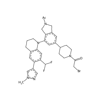 CC(=O)N1Cc2cc(C3CCN(C(=O)CBr)CC3)cc(N3CCCc4cc(-c5cnn(C)c5)c(C(F)F)cc43)c2C1